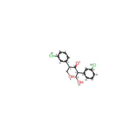 O=C(C(CO)c1cccc(Cl)c1)C(CO)c1cccc(Cl)c1